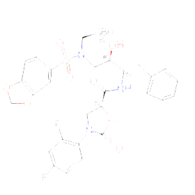 CC[C@H](C)CN(C[C@@H](O)[C@H](Cc1ccccc1)NC(=O)[C@@H]1CN(c2ccc(F)cc2F)C(=O)O1)S(=O)(=O)c1ccc2c(c1)OCO2